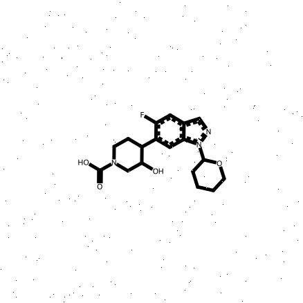 O=C(O)N1CCC(c2cc3c(cnn3C3CCCCO3)cc2F)C(O)C1